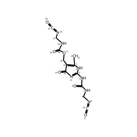 Cc1[nH]c(NC(=O)NCN=C=O)nc(=O)c1COC(=O)NCN=C=O